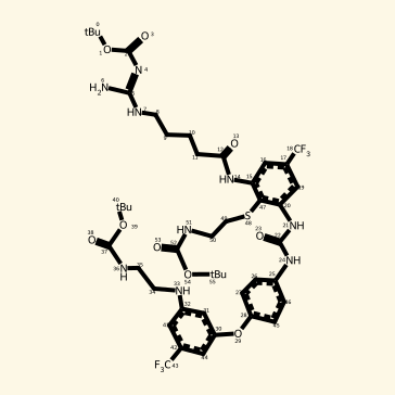 CC(C)(C)OC(=O)N=C(N)NCCCCC(=O)Nc1cc(C(F)(F)F)cc(NC(=O)Nc2ccc(Oc3cc(NCCNC(=O)OC(C)(C)C)cc(C(F)(F)F)c3)cc2)c1SCCNC(=O)OC(C)(C)C